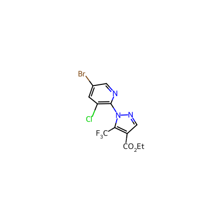 CCOC(=O)c1cnn(-c2ncc(Br)cc2Cl)c1C(F)(F)F